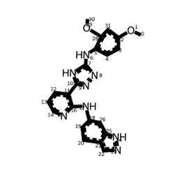 COc1ccc(Nc2nnc(-c3cccnc3Nc3ccc4cn[nH]c4c3)[nH]2)c(OC)c1